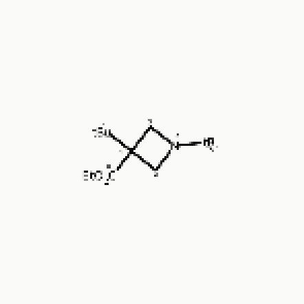 CCOC(=O)C1(C(C)(C)C)CN(C(C)(C)C)C1